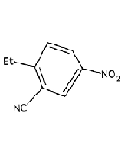 CCc1ccc([N+](=O)[O-])cc1C#N